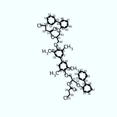 Cc1cc(-c2cc(C)c(OCC(COc3ccccc3-c3ccccc3)OC(=O)CCCl)c(C)c2)cc(C)c1OCC(COc1ccccc1-c1ccccc1)OC(=O)CCCl